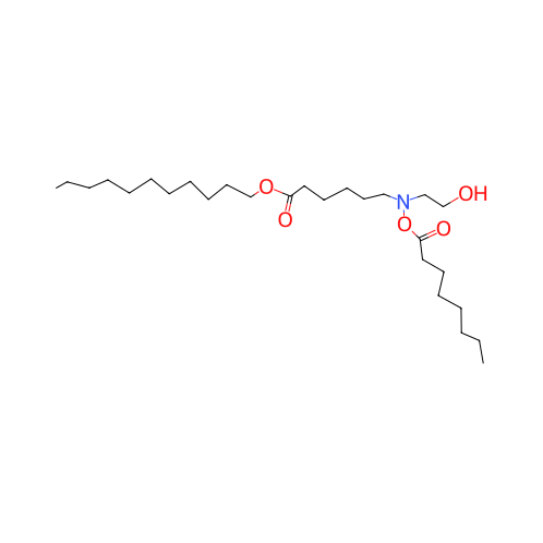 CCCCCCCCCCCOC(=O)CCCCCN(CCO)OC(=O)CCCCCCC